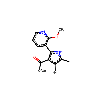 [2H]c1c(C)[nH]c(-c2cccnc2OC(F)(F)F)c1C(=O)OC